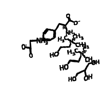 C[N+](C)(C)CCO.C[N+](C)(C)CCO.NCC(=O)[O-].N[C@@H](Cc1ccccc1)C(=O)[O-].OCC(O)CO